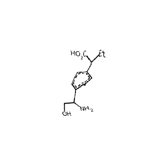 CCC(C(=O)O)c1ccc(C(N)CO)cc1